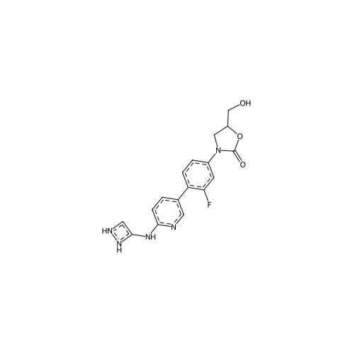 O=C1OC(CO)CN1c1ccc(-c2ccc(Nc3c[nH][nH]3)nc2)c(F)c1